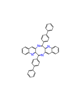 c1ccc(-c2ccc(/C3=N/c4cc5ccccc5nc4/C(c4ccc(-c5ccccc5)cc4)=N\c4cc5ccccc5nc43)cc2)cc1